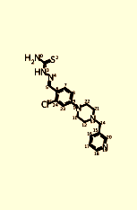 NC(=S)NN=Cc1ccc(N2CCN(Cc3cccnc3)CC2)cc1Cl